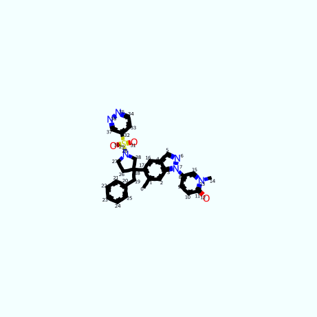 Cc1cc2c(cnn2-c2ccc(=O)n(C)c2)cc1C1(Cc2ccccc2)CCN(S(=O)(=O)c2ccnnc2)C1